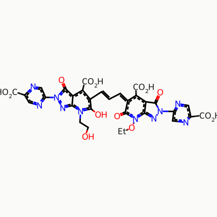 CCOn1c2c(c(C(=O)O)c(=CC=Cc3c(C(=O)O)c4c(=O)n(-c5cnc(C(=O)O)cn5)nc-4n(CCO)c3O)c1=O)C(=O)N(c1cnc(C(=O)O)cn1)N=2